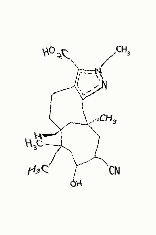 Cn1nc2c(c1C(=O)O)CC[C@H]1C(C)(C)C(O)C(C#N)C[C@]21C